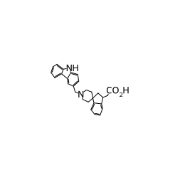 O=C(O)CC1CC2(CCN(Cc3ccc4[nH]c5ccccc5c4c3)CC2)c2ccccc21